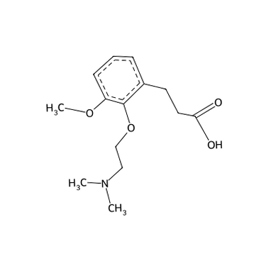 COc1cccc(CCC(=O)O)c1OCCN(C)C